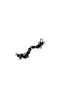 N#Cc1c(N2CC[C@@H](F)C2)ccc(F)c1Oc1ccc2ncn(-c3ccc(N4CCC(CN5CC6(CC(c7ccc8c(c7)CN(C7CCC(=O)NC7=O)C8=O)C6)C5)CC4)cc3)c(=O)c2c1